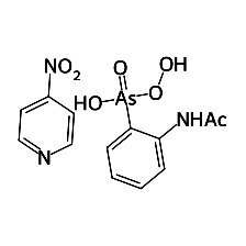 CC(=O)Nc1ccccc1[As](=O)(O)OO.O=[N+]([O-])c1ccncc1